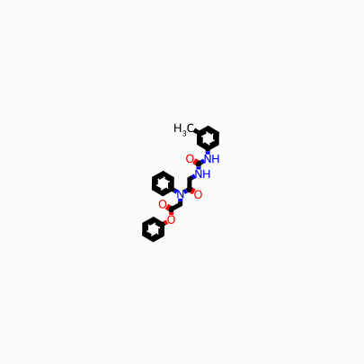 Cc1cccc(NC(=O)NCC(=O)N(CC(=O)Oc2ccccc2)c2ccccc2)c1